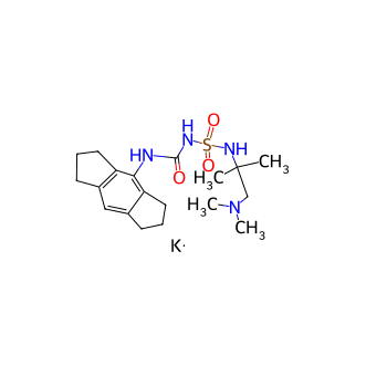 CN(C)CC(C)(C)NS(=O)(=O)NC(=O)Nc1c2c(cc3c1CCC3)CCC2.[K]